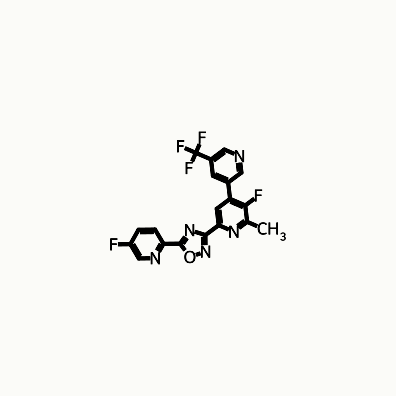 Cc1nc(-c2noc(-c3ccc(F)cn3)n2)cc(-c2cncc(C(F)(F)F)c2)c1F